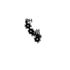 OCc1ccc(-c2ccc3nc(-c4[nH]nc5ccccc45)[nH]c3c2)cc1